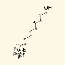 OCCCCCCCC/C=C/S(F)(F)(F)(F)F